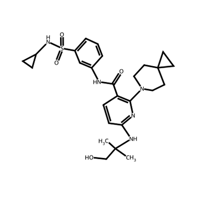 CC(C)(CO)Nc1ccc(C(=O)Nc2cccc(S(=O)(=O)NC3CC3)c2)c(N2CCC3(CC2)CC3)n1